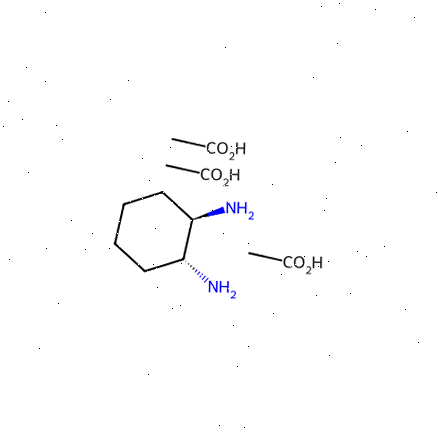 CC(=O)O.CC(=O)O.CC(=O)O.N[C@@H]1CCCC[C@H]1N